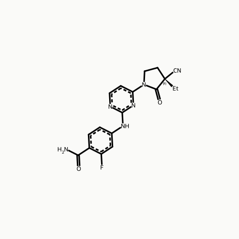 CC[C@]1(C#N)CCN(c2ccnc(Nc3ccc(C(N)=O)c(F)c3)n2)C1=O